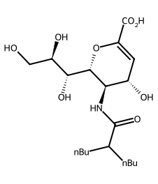 CCCCC(CCCC)C(=O)N[C@H]1[C@H]([C@H](O)[C@H](O)CO)OC(C(=O)O)=C[C@@H]1O